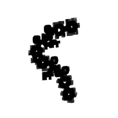 CC(C)C/C(=N\OC(=O)N1CCC(c2ccccc2)CC1)C(=O)c1ccc2c(c1)-c1cc(C(=O)/C(CC(C)C)=N/OC(=O)N3CCC(c4ccccc4)CC3)ccc1C2